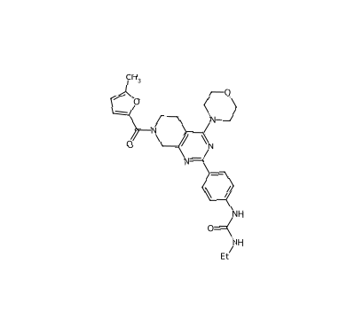 CCNC(=O)Nc1ccc(-c2nc3c(c(N4CCOCC4)n2)CCN(C(=O)c2ccc(C)o2)C3)cc1